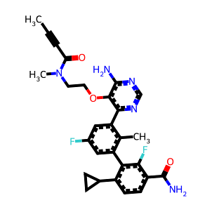 CC#CC(=O)N(C)CCOc1c(N)ncnc1-c1cc(F)cc(-c2c(C3CC3)ccc(C(N)=O)c2F)c1C